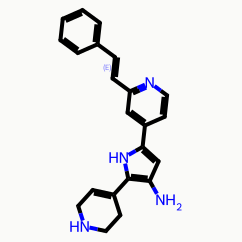 Nc1cc(-c2ccnc(/C=C/c3ccccc3)c2)[nH]c1C1=CCNCC1